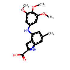 COc1cc(Nc2cc(C)cc3[nH]c(C(=O)O)cc23)cc(OC)c1OC